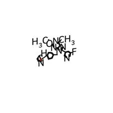 CCOc1nc(C)c2nc(-c3cncc(F)c3)n(Cc3ccc([C@@H]4CN5CCC4CC5)cc3)c2n1